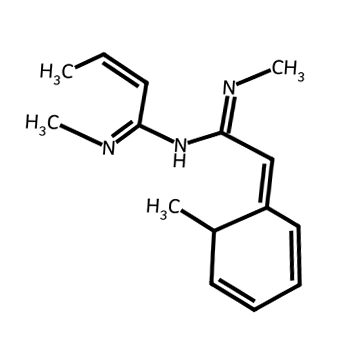 C/C=C\C(=N/C)NC(/C=C1/C=CC=CC1C)=N/C